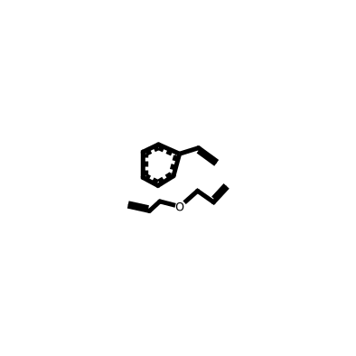 C=CCOCC=C.C=Cc1ccccc1